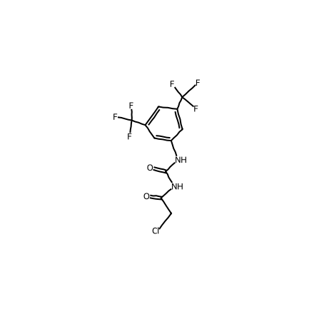 O=C(CCl)NC(=O)Nc1cc(C(F)(F)F)cc(C(F)(F)F)c1